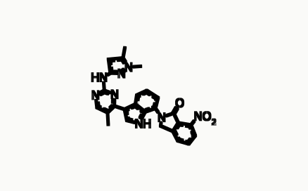 Cc1cnc(Nc2cc(C)n(C)n2)nc1-c1c[nH]c2c(N3Cc4cccc([N+](=O)[O-])c4C3=O)cccc12